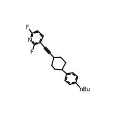 CCCCc1ccc(C2CCC(C#Cc3ccc(F)nc3F)CC2)cc1